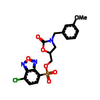 COc1cccc(CN2CC(COS(=O)(=O)c3ccc(Cl)c4nonc34)OC2=O)c1